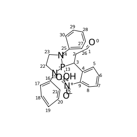 O=CCC(c1ccccc1[N+](=O)[O-])[P]1(O)N(c2ccccc2)CCN1c1ccccc1